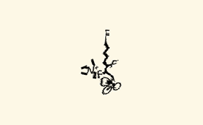 CC[N+](CC)(CC)CC.O=S(=O)([O-])CC(F)C(F)CCCCCF